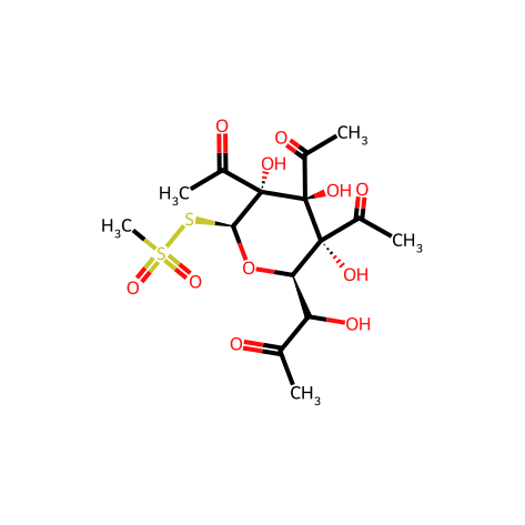 CC(=O)C(O)[C@H]1O[C@@H](SS(C)(=O)=O)[C@@](O)(C(C)=O)[C@](O)(C(C)=O)[C@@]1(O)C(C)=O